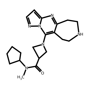 CN(C(=O)C1CN(c2c3c(nc4ccnn24)CCNCC3)C1)C1CCCC1